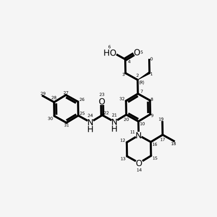 CC[C@H](CC(=O)O)c1ccc(N2CCOCC2C(C)C)c(NC(=O)Nc2ccc(C)cc2)c1